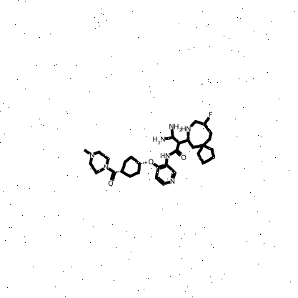 CN1CCN(C(=O)[C@H]2CC[C@@H](Oc3ccncc3NC(=O)C(C(N)N)C3CC4(CCCC4)CCC(F)CN3)CC2)CC1